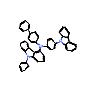 C1=CC2c3ccccc3N(c3ccc(N(c4ccc(-c5ccccc5)cc4)c4cccc5c4c4ccccc4n5-c4ccccc4)cc3)C2C=C1